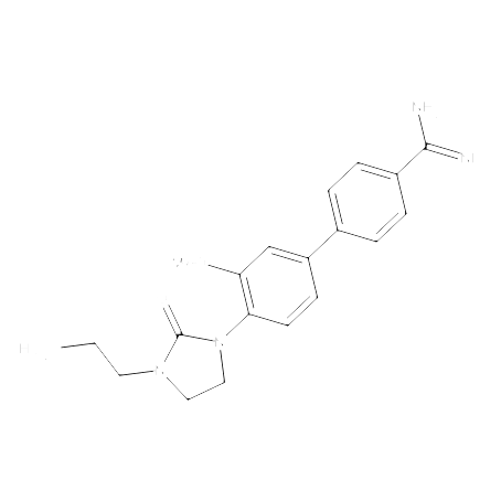 COc1cc(-c2ccc(C(=N)N)cc2)ccc1N1CCN(CCC(=O)O)C1=O